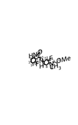 COCCN(C)c1ccc(N/C=C2/C(=O)Nc3cccc(F)c32)cc1F